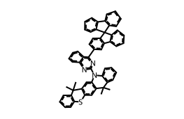 CC1(C)c2ccccc2Sc2cc3c(cc21)N(c1nc(-c2ccc4c(c2)-c2ccccc2C42c4ccccc4-c4ccccc42)c2ccccc2n1)c1ccccc1C3(C)C